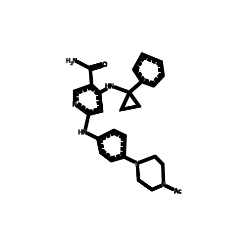 CC(=O)N1CCN(c2ccc(Nc3cc(NC4(c5ccccc5)CC4)c(C(N)=O)cn3)cc2)CC1